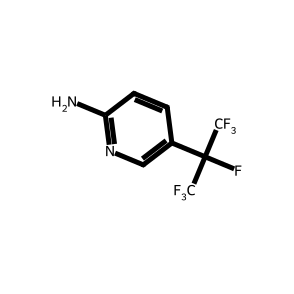 Nc1ccc(C(F)(C(F)(F)F)C(F)(F)F)cn1